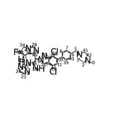 CN1CCN(Cc2ccc(-c3cc(Cl)c4cn(C(C(=N)Nc5ncc[nH]5)c5ncn6c5C[C@@H](F)C6)nc4c3Cl)cc2)CC1